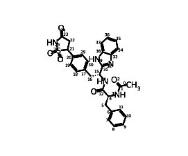 CC(=O)N[C@@H](Cc1ccccc1)C(=O)N[C@H](Cc1ccc(C2CC(=O)NS2(=O)=O)cc1)c1nc2ccccc2[nH]1